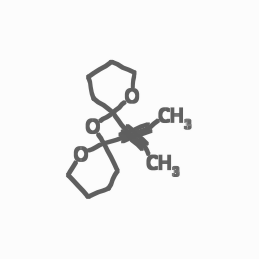 CC#CC1(OC2(C#CC)CCCCO2)CCCCO1